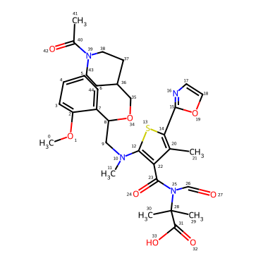 COc1ccccc1C(CN(C)c1sc(-c2ncco2)c(C)c1C(=O)N(C=O)C(C)(C)C(=O)O)OCC1CCN(C(C)=O)CC1